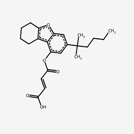 CCCCC(C)(C)c1cc(OC(=O)C=CC(=O)O)c2c3c(oc2c1)CCCC3